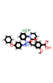 COc1cc(CC(=O)N(Nc2ccc(OC3CCCCC3)cc2)c2ccccc2N2CCCCC2)c(Br)cc1C(=O)O.Cl